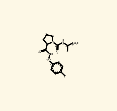 Cc1ccc(NNC(=O)C2CCCN2C(=O)NC(C)C(=O)O)cc1